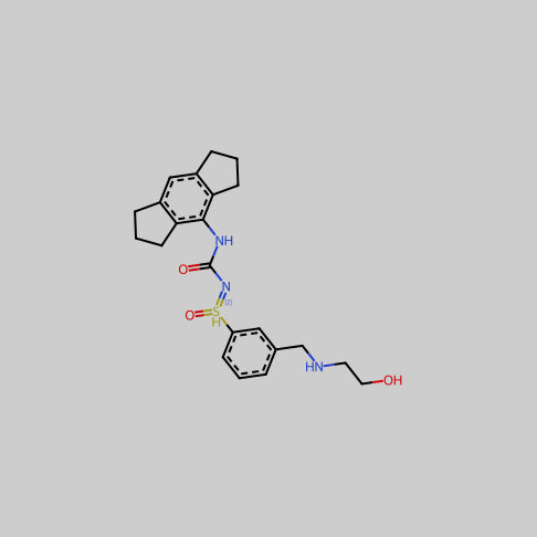 O=C(/N=[SH](=O)/c1cccc(CNCCO)c1)Nc1c2c(cc3c1CCC3)CCC2